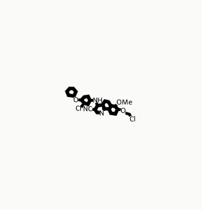 COc1c(OCCCl)ccc2c1ccc1c(Nc3ccc(Oc4ccccc4)c(Cl)c3)c(C#N)cnc12